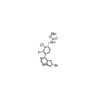 CC(C)(C)OC(=O)NCc1ccc(-c2ncnn3cc(Br)cc23)c(F)c1Cl